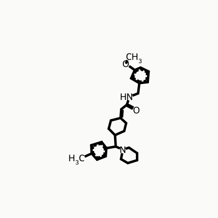 COc1cccc(CNC(=O)C=C2CCC(C(c3ccc(C)cc3)N3CCCCC3)CC2)c1